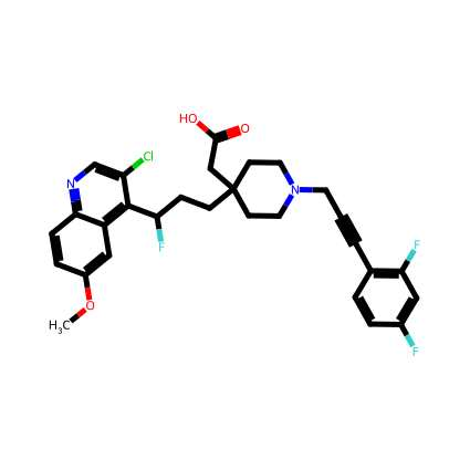 COc1ccc2ncc(Cl)c(C(F)CCC3(CC(=O)O)CCN(CC#Cc4ccc(F)cc4F)CC3)c2c1